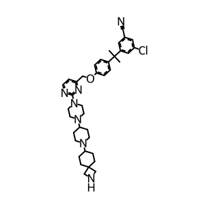 CC(C)(c1ccc(OCc2ccnc(N3CCN(C4CCN(C5CCC6(CC5)CNC6)CC4)CC3)n2)cc1)c1cc(Cl)cc(C#N)c1